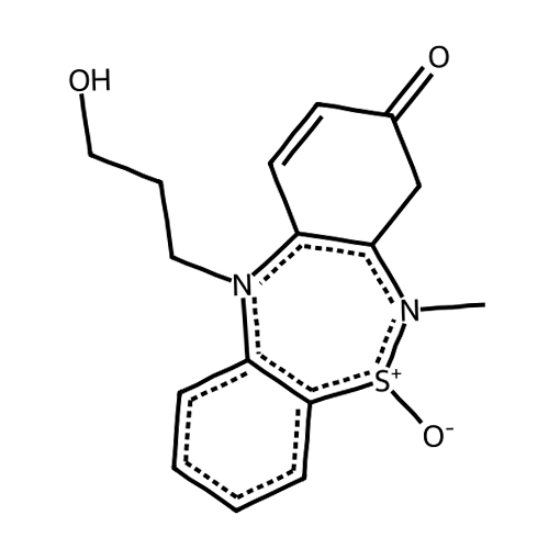 Cn1c2c(n(CCCO)c3ccccc3[s+]1[O-])C=CC(=O)C2